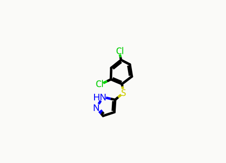 Clc1ccc(Sc2ccn[nH]2)c(Cl)c1